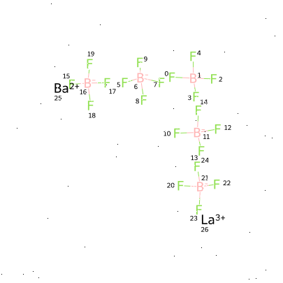 F[B-](F)(F)F.F[B-](F)(F)F.F[B-](F)(F)F.F[B-](F)(F)F.F[B-](F)(F)F.[Ba+2].[La+3]